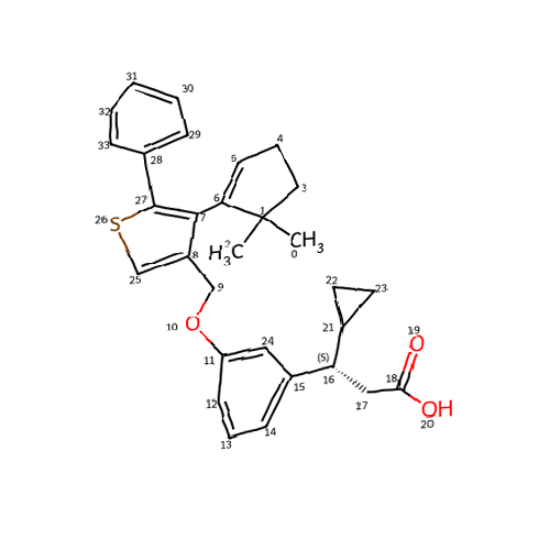 CC1(C)CCC=C1c1c(COc2cccc([C@@H](CC(=O)O)C3CC3)c2)csc1-c1ccccc1